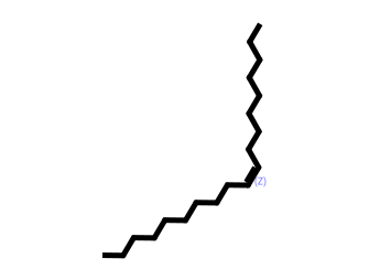 CCCCCCCC/C=C\CCCCCCCCC